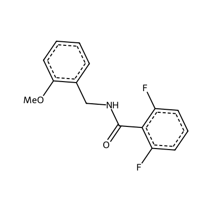 COc1ccccc1CNC(=O)c1c(F)cccc1F